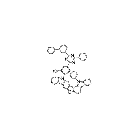 N#Cc1cc(-c2nc(-c3ccccc3)nc(-c3cccc(-c4ccccc4)c3)n2)ccc1-n1c2ccccc2c2cc3oc4ccc5c6ccccc6n(-c6ccccc6)c5c4c3cc21